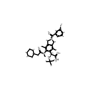 Cc1c2c(c(C)c(N(C)C(=O)CC3CCCCC3)c1[C@H](OC(C)(C)C)C(=O)O)CN(C(=O)c1cccc(F)c1)C2